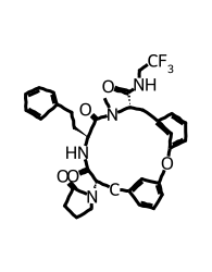 CN1C(=O)[C@H](CCc2ccccc2)NC(=O)[C@@H](N2CCCC2=O)Cc2cccc(c2)Oc2cccc(c2)C[C@H]1C(=O)NCC(F)(F)F